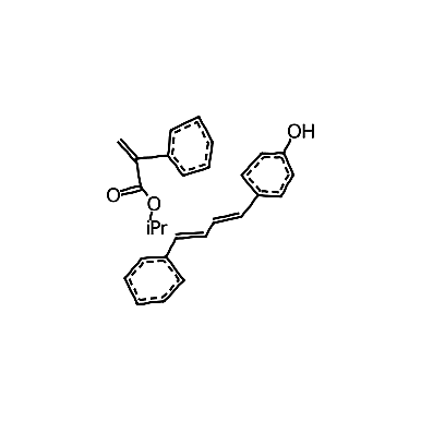 C=C(C(=O)OC(C)C)c1ccccc1.Oc1ccc(C=CC=Cc2ccccc2)cc1